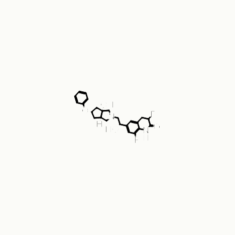 O=C1Nc2c(F)cc([C@H](O)CN3C[C@H]4C[C@H](Oc5ccccc5)C[C@@]4(O)C3)cc2CC1F